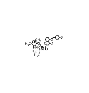 CC[C@@H](C)[C@H](NNC(=O)c1cc(=O)c2c(OCc3ccc(Br)cc3)cccc2o1)C(=O)N[C@@H](CC(C)C)C(=O)OC